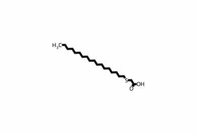 CCCCCCCCCCCCCCCCCCSCC(=O)O